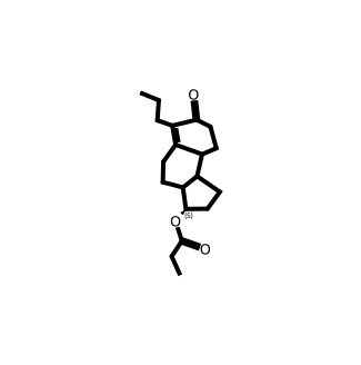 CCCC1=C2CCC3C(CC[C@@H]3OC(=O)CC)C2CCC1=O